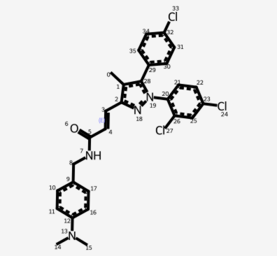 Cc1c(/C=C/C(=O)NCc2ccc(N(C)C)cc2)nn(-c2ccc(Cl)cc2Cl)c1-c1ccc(Cl)cc1